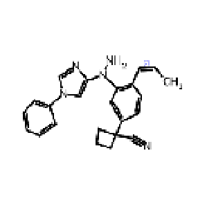 C/C=C\c1ccc(C2(C#N)CCC2)cc1N(N)c1cn(-c2ccccc2)cn1